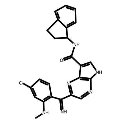 CNc1cc(Cl)ccc1C(=N)c1cnc2[nH]cc(C(=O)NC3CCc4ccccc43)c2n1